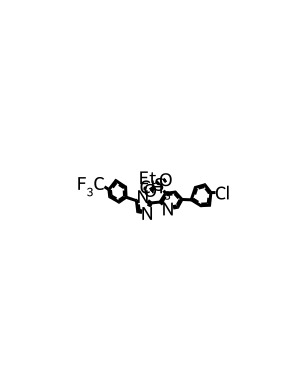 CCS(=O)(=O)c1cc(-c2ccc(Cl)cc2)cnc1-c1ncc(-c2ccc(C(F)(F)F)cc2)n1C